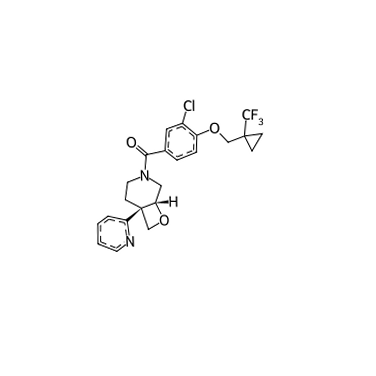 O=C(c1ccc(OCC2(C(F)(F)F)CC2)c(Cl)c1)N1CC[C@@]2(c3ccccn3)CO[C@H]2C1